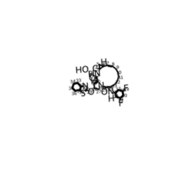 O=C1N[C@]2(C(=O)O)C[C@H]2/C=C\CCCCC[C@H](Nc2cc(F)cc(F)c2)C(=O)N2C[C@H](Oc3nc4ccccc4s3)C[C@@H]12